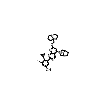 Oc1cc(Cl)c(C2CC2)c(-c2ncc3c(N4CC5CCC(C4)N5)cc(OCC45CCCN4CCC5)nc3n2)c1